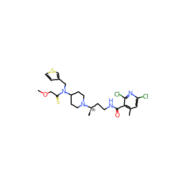 COCC(=S)N(Cc1ccsc1)C1CCN([C@H](C)CCNC(=O)c2c(C)cc(Cl)nc2Cl)CC1